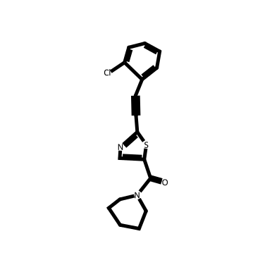 O=C(c1cnc(C#Cc2ccccc2Cl)s1)N1CCCCC1